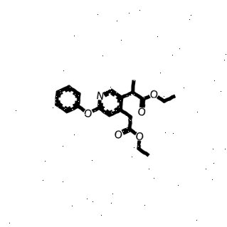 CCOC(=O)Cc1cc(Oc2ccccc2)ncc1C(C)C(=O)OCC